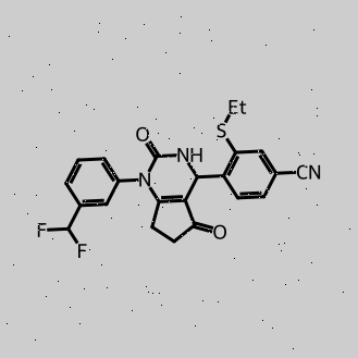 CCSc1cc(C#N)ccc1C1NC(=O)N(c2cccc(C(F)F)c2)C2=C1C(=O)CC2